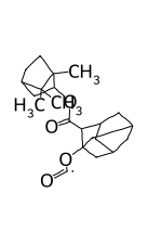 CC1(C)C2CCC1(C)C(OC(=O)C1C3CC4CC(C3)CC1(O[C]=O)C4)C2